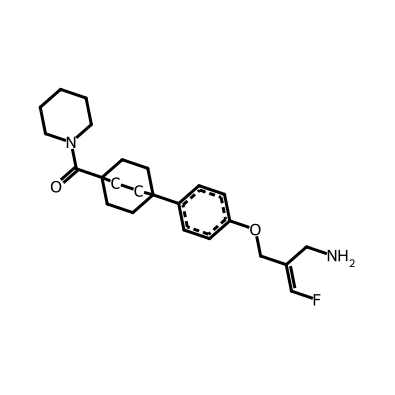 NC/C(=C\F)COc1ccc(C23CCC(C(=O)N4CCCCC4)(CC2)CC3)cc1